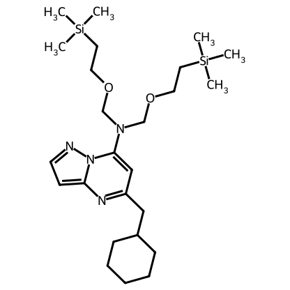 C[Si](C)(C)CCOCN(COCC[Si](C)(C)C)c1cc(CC2CCCCC2)nc2ccnn12